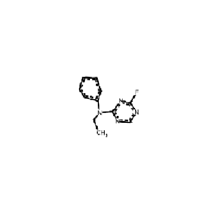 CCN(c1ccccc1)c1n[c]nc(F)n1